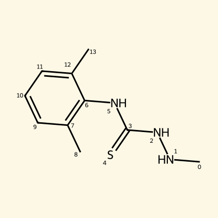 CNNC(=S)Nc1c(C)cccc1C